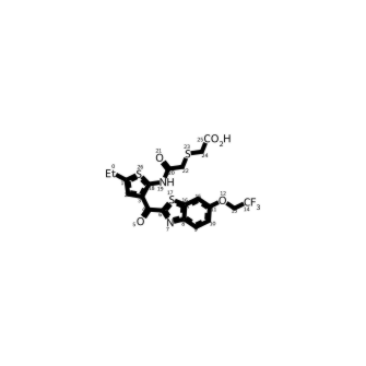 CCc1cc(C(=O)c2nc3ccc(OCC(F)(F)F)cc3s2)c(NC(=O)CSCC(=O)O)s1